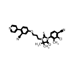 Cc1c(N2C(=O)C(C)(C)N(CCCOc3ccc(-c4ccncc4)c(C#N)c3)C2=S)ccc(C#N)c1Cl